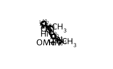 COc1cc(Nc2nc(C)cc(-c3ccccc3Cl)n2)ccc1-c1nc(C)c[nH]1